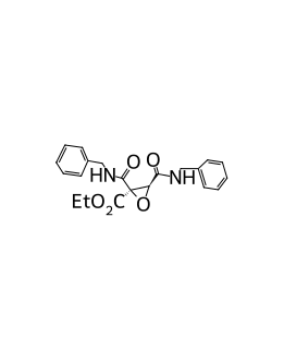 CCOC(=O)[C@@]1(C(=O)NCc2ccccc2)O[C@@H]1C(=O)NCc1ccccc1